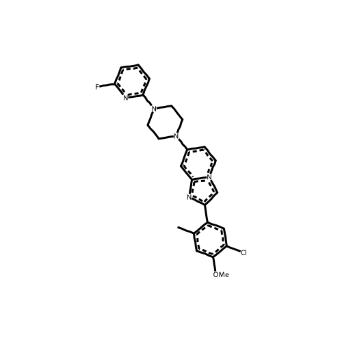 COc1cc(C)c(-c2cn3ccc(N4CCN(c5cccc(F)n5)CC4)cc3n2)cc1Cl